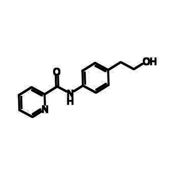 O=C(Nc1ccc(CCO)cc1)c1ccccn1